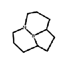 C1CC2CCC3CCCN(C1)B23